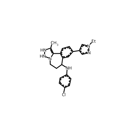 CCn1cc(-c2ccc3c(c2)C(Nc2ccc(Cl)cc2)CCN2NNC(C)=C32)cn1